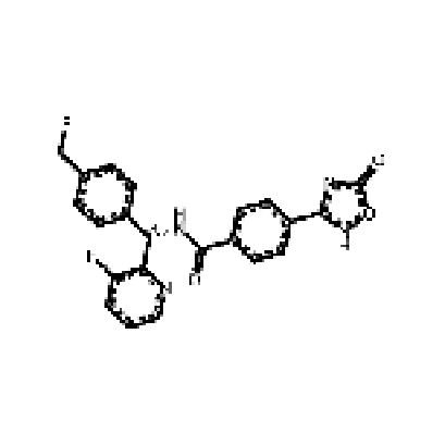 O=C(N[C@@H](c1ccc(CF)cc1)c1ncccc1F)c1ccc(-c2nc(=O)o[nH]2)cc1